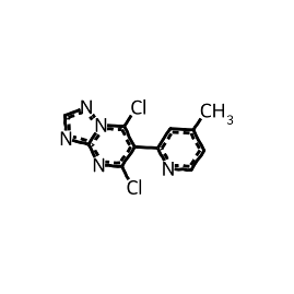 Cc1ccnc(-c2c(Cl)nc3ncnn3c2Cl)c1